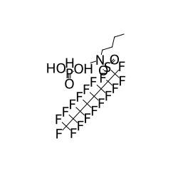 CCCCN(C)S(=O)(=O)C(F)(F)C(F)(F)C(F)(F)C(F)(F)C(F)(F)C(F)(F)C(F)(F)C(F)(F)F.O=[PH](O)O